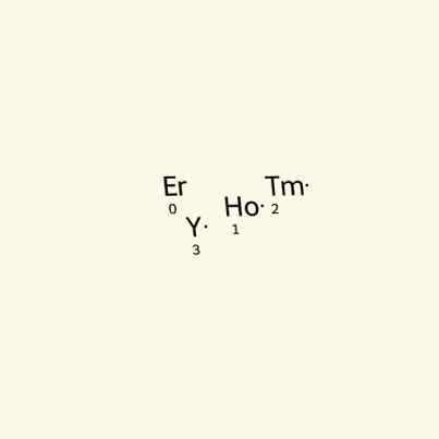 [Er].[Ho].[Tm].[Y]